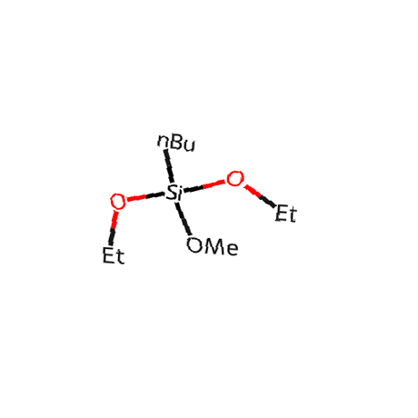 CCCC[Si](OC)(OCC)OCC